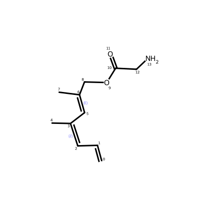 C=C/C=C(C)\C=C(/C)COC(=O)CN